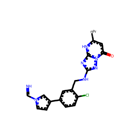 CCCc1cc(=O)n2nc(NCc3cc(-c4ccn(C=N)c4)ccc3Cl)nc2[nH]1